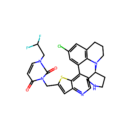 O=c1ccn(CC(F)F)c(=O)n1Cc1cc2nccc(-c3cc(Cl)cc4c3N([C@H]3CCNC3)CCC4)c2s1